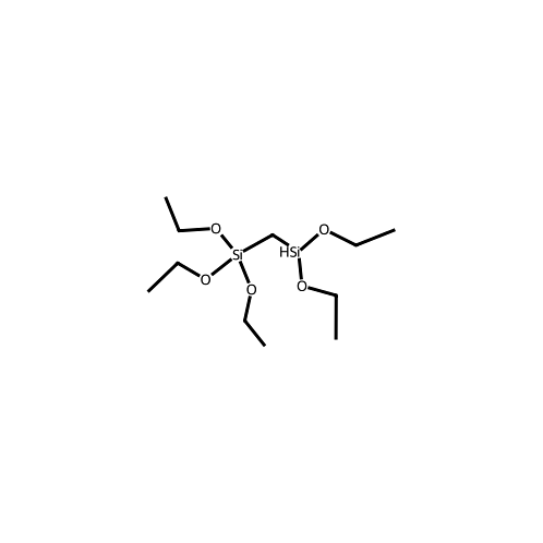 CCO[SiH](C[Si](OCC)(OCC)OCC)OCC